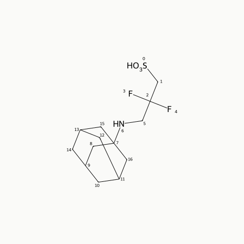 O=S(=O)(O)CC(F)(F)CNC12CC3CC(CC(C3)C1)C2